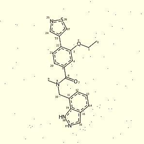 CCOc1cc(C(=O)N(C)Cc2cccc3cn[nH]c23)ccc1-c1cnsc1